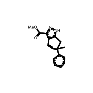 COC(=O)c1n[nH]c2c1C=CC(C)(c1ccccc1)C2